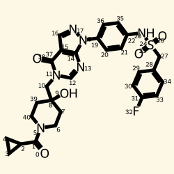 O=C(C1CC1)N1CCC(O)(Cn2cnc3c(cnn3-c3ccc(NS(=O)(=O)Cc4ccc(F)cc4)cc3)c2=O)CC1